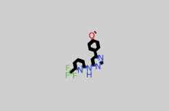 COc1ccc(-c2cc(Nc3cccc(C(F)(F)F)n3)ncn2)cc1